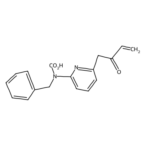 C=CC(=O)Cc1cccc(N(Cc2ccccc2)C(=O)O)n1